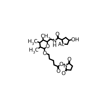 CC1C(CNC(=O)[CH]2CC(O)[CH2][Ac]2)OC(OCCCCC(=O)ON2C(=O)CCC2=O)C(C)C1C